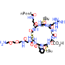 CCCCCC(=O)NCCCC[C@@H]1NC(=O)CSC[C@@H](C(=O)NCC(=O)NCCOCCOCCN)NC(=O)[C@H](Cc2ccccc2)NC(=O)[C@H](CSC(C)(C)C)NC(=O)[C@H](CC(=O)O)NC(=O)CNC(=O)[C@H](CCCNC(=N)N)NC(=O)[C@H](CSC(C)(C)C)NC1=O